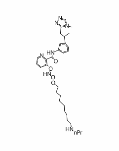 CCCNCCCCCCCCCOONOc1cccnc1C(=O)Nc1cccc(C(C)Cc2nncn2C)c1